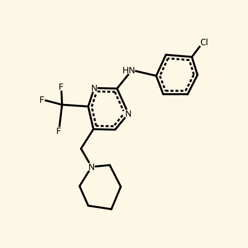 FC(F)(F)c1nc(Nc2cccc(Cl)c2)ncc1CN1CCCCC1